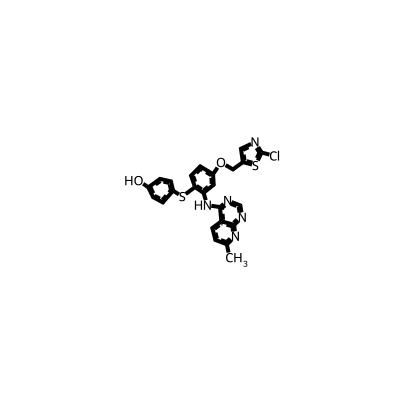 Cc1ccc2c(Nc3cc(OCc4cnc(Cl)s4)ccc3Sc3ccc(O)cc3)ncnc2n1